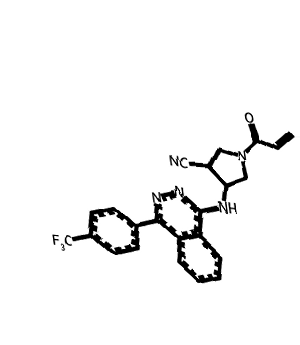 C=CC(=O)N1CC(C#N)C(Nc2nnc(-c3ccc(C(F)(F)F)cc3)c3ccccc23)C1